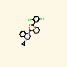 O=C([C@@H]1CCCCN1C(=O)c1cc(Cl)ccc1Cl)N1CCN(C2CC2)c2ccccc21